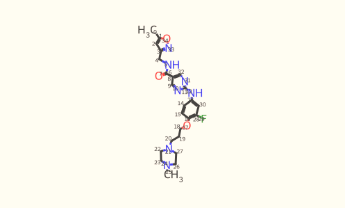 Cc1cc(CNC(=O)c2cnc(Nc3ccc(OCCCN4CCN(C)CC4)c(F)c3)nc2)no1